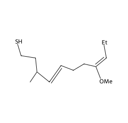 CC/C=C(\CCC=CC(C)CCS)OC